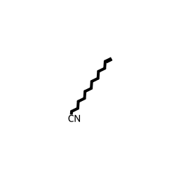 C=CCCCCCCCCCCC#N